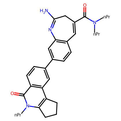 CCCN(CCC)C(=O)C1=Cc2ccc(-c3ccc4c(=O)n(CCC)c5c(c4c3)CCC5)cc2N=C(N)C1